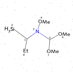 CCC([SiH3])N(OC)C(OC)OC